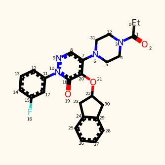 CCC(=O)N1CCN(c2cnn(-c3cccc(F)c3)c(=O)c2OC2Cc3ccccc3C2)CC1